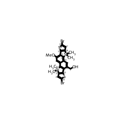 COc1cc2c3c(c(CO)cc2c2c1-c1sc(Br)cc1[Si]2(C)C)-c1sc(Br)cc1[Si]3(C)C